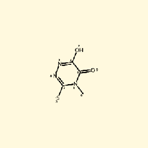 Cn1c([S])nnc(O)c1=O